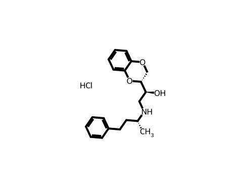 C[C@H](CCc1ccccc1)NC[C@H](O)[C@H]1COc2ccccc2O1.Cl